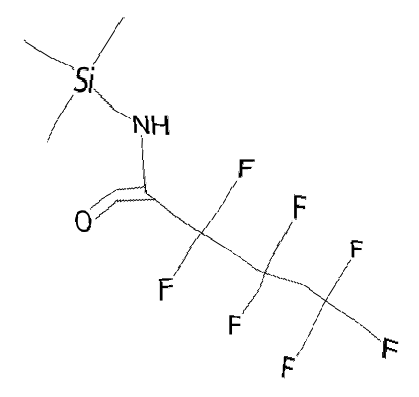 C[Si](C)(C)NC(=O)C(F)(F)C(F)(F)C(F)(F)F